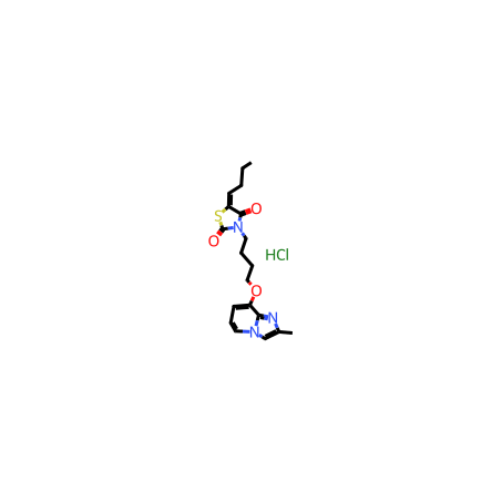 CCCC=C1SC(=O)N(CCCCOc2cccn3cc(C)nc23)C1=O.Cl